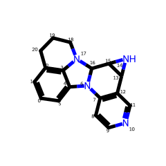 c1cc2c3c(c1)N1c4ccncc4C4NC4C1N3CCC2